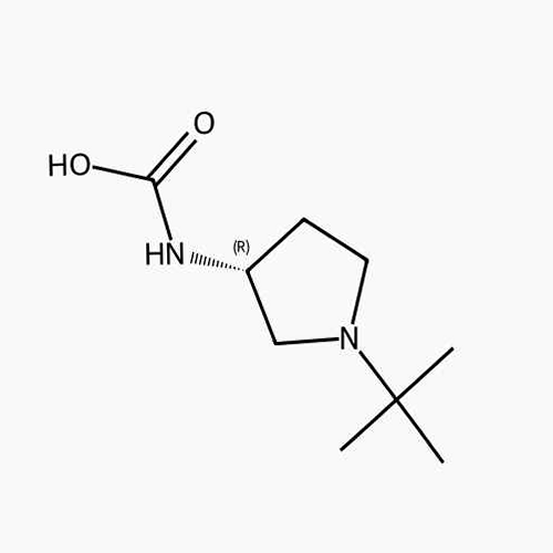 CC(C)(C)N1CC[C@@H](NC(=O)O)C1